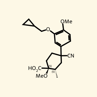 COc1ccc(C2(C#N)CC[C@@](OC)(C(=O)O)[C@@H](C)C2)cc1OCC1CC1